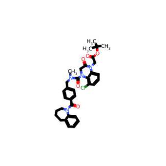 CN(Cc1ccc(C(=O)N2CCCCc3ccccc32)cc1)C(=O)N1CC(=O)N(CC(=O)OC(C)(C)C)c2cccc(Cl)c21